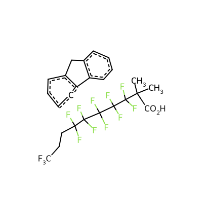 CC(C)(C(=O)O)C(F)(F)C(F)(F)C(F)(F)C(F)(F)C(F)(F)CCC(F)(F)F.c1ccc2c(c1)Cc1ccccc1-2